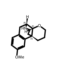 COc1ccc2c(c1)[C@@]13CCCO[C@H]1[C@@H](C2)NCC3